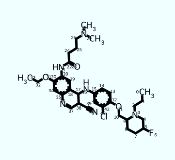 CCCN1CC(F)CCC1COc1ccc(NC2c3cc(NC(=O)CCCN(C)C)c(OCC)cc3N=CC2C#N)cc1Cl